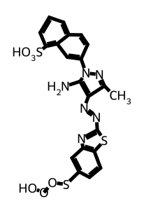 Cc1nn(-c2ccc3cccc(S(=O)(=O)O)c3c2)c(N)c1/N=N/c1nc2cc(SOOO)ccc2s1